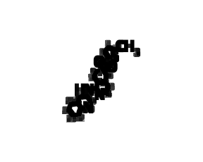 Cc1ccc(S(=O)(=O)N2CCc3c(ccnc3Nc3cnc4ccccc4c3)C2)s1